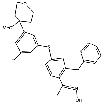 COC1(c2cc(F)cc(Sc3ccc(/C(C)=N/O)c(Cc4ccccn4)c3)c2)CCOCC1